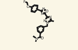 Cc1nc(-c2nc(-c3ccc(OCF)cc3)no2)nn1Cc1cccc(C(=O)N(C)C)c1